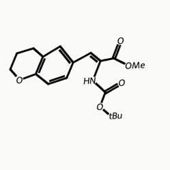 COC(=O)/C(=C/c1ccc2c(c1)CCCO2)NC(=O)OC(C)(C)C